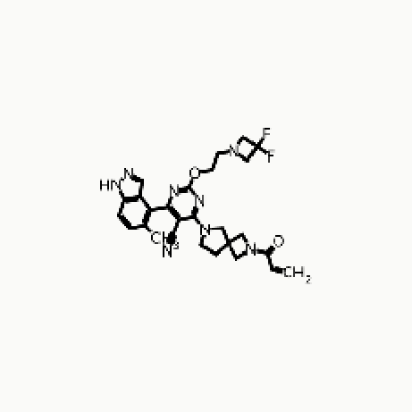 C=CC(=O)N1CC2(CCN(c3nc(OCCN4CC(F)(F)C4)nc(-c4c(C)ccc5[nH]ncc45)c3C#N)C2)C1